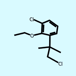 CCOc1c(Cl)cccc1C(C)(C)CCl